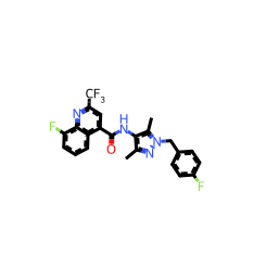 Cc1nn(Cc2ccc(F)cc2)c(C)c1NC(=O)c1cc(C(F)(F)F)nc2c(F)cccc12